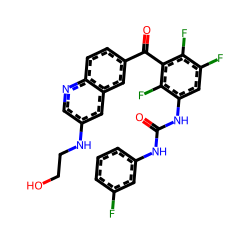 O=C(Nc1cccc(F)c1)Nc1cc(F)c(F)c(C(=O)c2ccc3ncc(NCCO)cc3c2)c1F